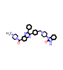 CN1CCN(C(=O)c2ccc3nc(-c4ccc(CN5CCC(n6c(=O)[nH]c7ccccc76)CC5)cc4)c(-c4ccccc4)nc3c2)CC1